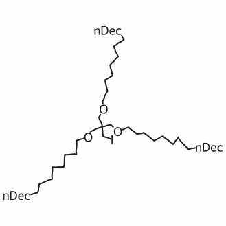 CCCCCCCCCCCCCCCCCCOCC(CI)(COCCCCCCCCCCCCCCCCCC)COCCCCCCCCCCCCCCCCCC